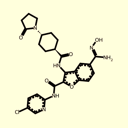 NC(=NO)c1ccc2oc(C(=O)Nc3ccc(Cl)cn3)c(NC(=O)[C@H]3CC[C@H](N4CCCC4=O)CC3)c2c1